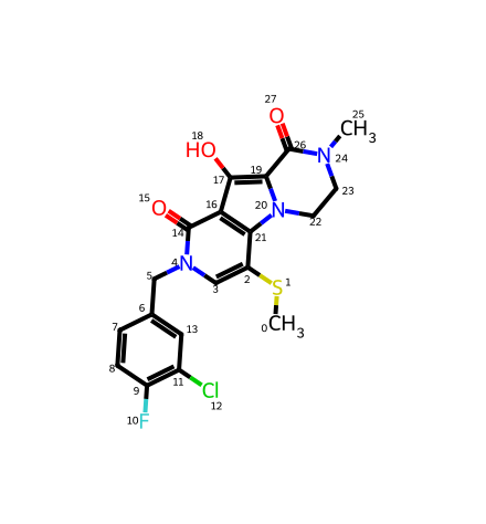 CSc1cn(Cc2ccc(F)c(Cl)c2)c(=O)c2c(O)c3n(c12)CCN(C)C3=O